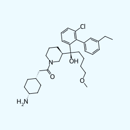 CCc1cccc(-c2c(Cl)cccc2[C@](O)(CCCCOC)[C@@H]2CCCN(C(=O)C[C@H]3CC[C@@H](N)CC3)C2)c1